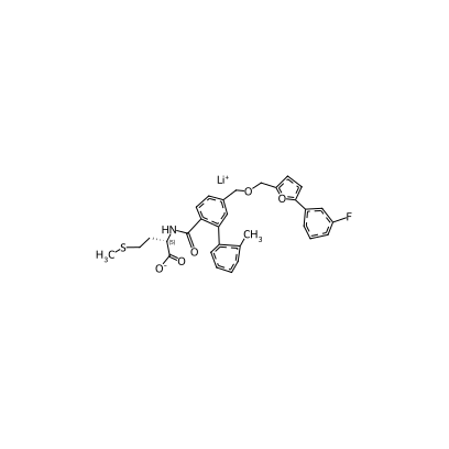 CSCC[C@H](NC(=O)c1ccc(COCc2ccc(-c3cccc(F)c3)o2)cc1-c1ccccc1C)C(=O)[O-].[Li+]